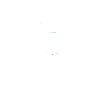 Cn1nncc1OC(N)=O